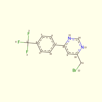 FC(F)(F)c1ccc(-c2cc(CBr)ncn2)cc1